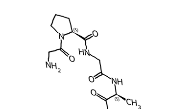 C[C@H](NC(=O)CNC(=O)[C@@H]1CCCN1C(=O)CN)C(=O)O